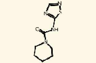 O=C(Nc1ncns1)N1CCCCC1